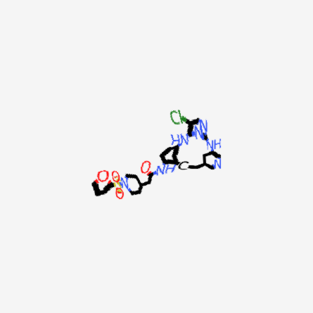 O=C(CC1CCN(S(=O)(=O)c2ccco2)CC1)Nc1ccc2cc1CCC1C=NC=C(C1)Nc1ncc(Cl)c(n1)N2